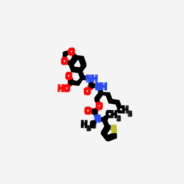 CCCC[C@@H](COC(=O)N(C)C(C)c1cccs1)NC(=O)N[C@@H](CC(=O)O)c1ccc2c(c1)OCO2